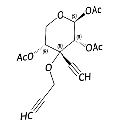 C#CCO[C@]1(C#C)[C@H](OC(C)=O)CO[C@@H](OC(C)=O)[C@@H]1OC(C)=O